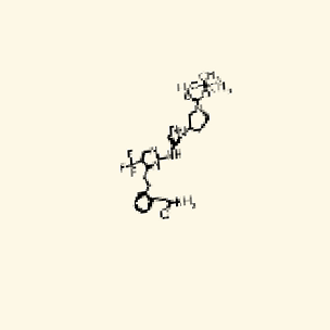 CC(C)(C)OC(=O)N1CCCC(n2cc(Nc3ncc(C(F)(F)F)c(CCc4ccccc4CC(N)=O)n3)cn2)C1